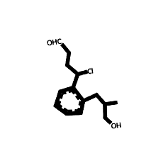 CC(CO)Cc1ccccc1C(Cl)CCC=O